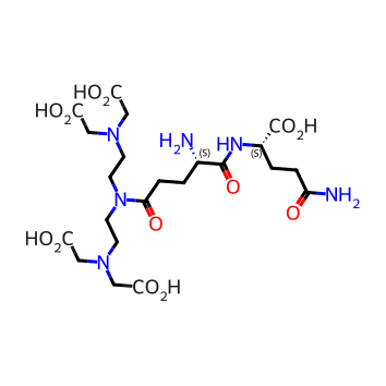 NC(=O)CC[C@H](NC(=O)[C@@H](N)CCC(=O)N(CCN(CC(=O)O)CC(=O)O)CCN(CC(=O)O)CC(=O)O)C(=O)O